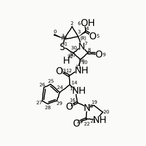 C[C@@]12C[C@]1(C(=O)O)N1C(=O)[C@@H](NC(=O)C(NC(=O)N3CCNC3=O)c3ccccc3)[C@H]1S2